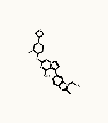 COc1nc(N[C@@H]2CCN(C3COC3)C[C@@H]2F)nn2ccc(-c3ccc4nc(C)n(CC(F)(F)F)c4c3)c12